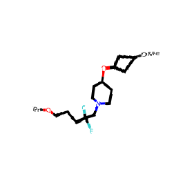 COC1CC(OC2CCN(CC(F)(F)CCCOC(C)C)CC2)C1